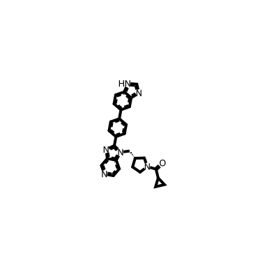 O=C(C1CC1)N1CC[C@H](Cn2c(-c3ccc(-c4ccc5[nH]cnc5c4)cc3)nc3cnccc32)C1